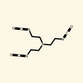 O=C=NCCN(CCN=C=O)CCN=C=O